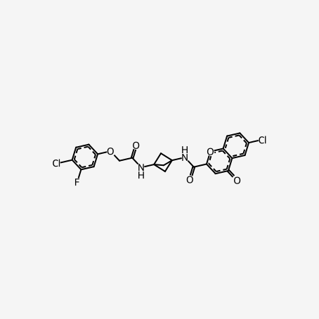 O=C(COc1ccc(Cl)c(F)c1)NC12CC(NC(=O)c3cc(=O)c4cc(Cl)ccc4o3)(C1)C2